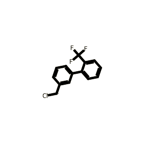 FC(F)(F)c1ccccc1-c1cccc([CH]Cl)c1